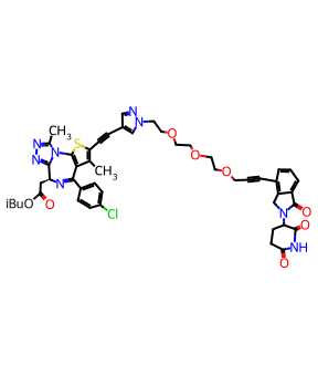 Cc1c(C#Cc2cnn(CCOCCOCCOCC#Cc3cccc4c3CN(C3CCC(=O)NC3=O)C4=O)c2)sc2c1C(c1ccc(Cl)cc1)=N[C@@H](CC(=O)OCC(C)C)c1nnc(C)n1-2